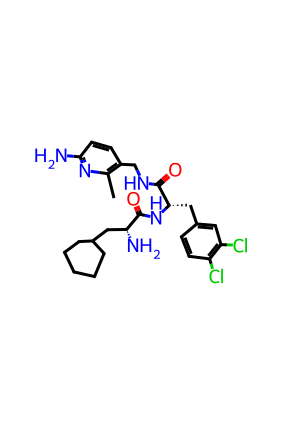 Cc1nc(N)ccc1CNC(=O)[C@H](Cc1ccc(Cl)c(Cl)c1)NC(=O)[C@H](N)CC1CCCCC1